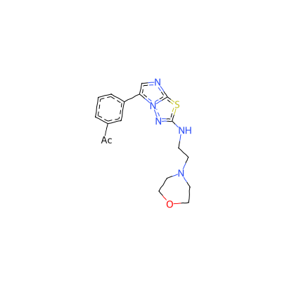 CC(=O)c1cccc(-c2cnc3sc(NCCN4CCOCC4)nn23)c1